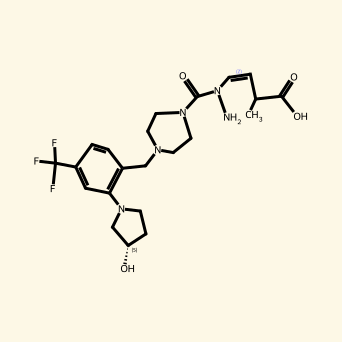 CC(/C=C\N(N)C(=O)N1CCN(Cc2ccc(C(F)(F)F)cc2N2CC[C@H](O)C2)CC1)C(=O)O